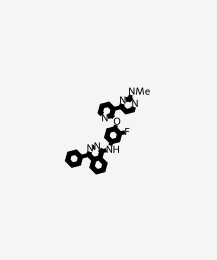 CNc1nccc(-c2cccnc2Oc2ccc(Nc3nnc(-c4ccccc4)c4ccccc34)cc2F)n1